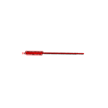 CCCCCCCCCCCCCCCCCCCCCCCCCCCCCCCCCCCCCCCCCCCCCCCCCCCCCCCCCCC(=O)C(=O)C(=O)C(=O)C(=O)C(=O)C(=O)C(=O)C(=O)C(=O)C(=O)C(=O)C(=O)C(=O)C(=O)C(=O)C(=O)C(=O)C(=O)C(=O)C(=O)C(=O)C(=O)O